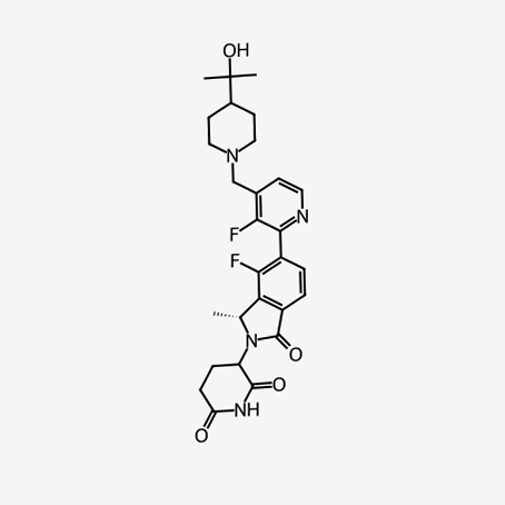 C[C@@H]1c2c(ccc(-c3nccc(CN4CCC(C(C)(C)O)CC4)c3F)c2F)C(=O)N1C1CCC(=O)NC1=O